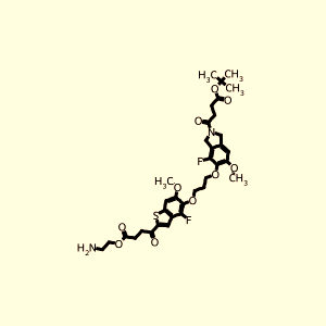 COc1cc2c(c(F)c1OCCCOc1c(OC)cc3sc(C(=O)CCC(=O)OCCN)cc3c1F)CN(C(=O)CCC(=O)OC(C)(C)C)C2